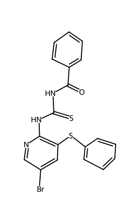 O=C(NC(=S)Nc1ncc(Br)cc1Sc1ccccc1)c1ccccc1